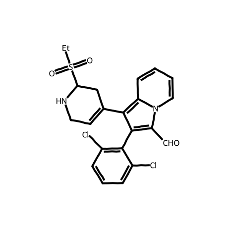 CCS(=O)(=O)C1CC(c2c(-c3c(Cl)cccc3Cl)c(C=O)n3ccccc23)=CCN1